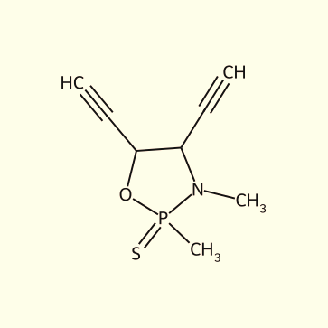 C#CC1OP(C)(=S)N(C)C1C#C